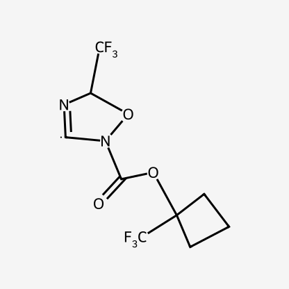 O=C(OC1(C(F)(F)F)CCC1)N1[C]=NC(C(F)(F)F)O1